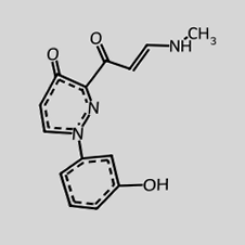 CNC=CC(=O)c1nn(-c2cccc(O)c2)ccc1=O